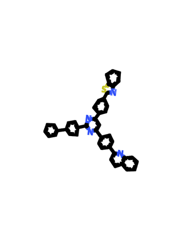 c1ccc(-c2ccc(-c3nc(-c4ccc(-c5ccc6ccccc6n5)cc4)cc(-c4ccc(-c5nc6ccccc6s5)cc4)n3)cc2)cc1